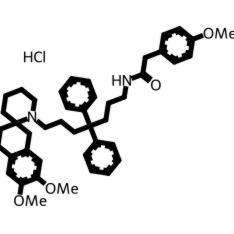 COc1ccc(CC(=O)NCCCC(CCCN2CCCCC23CCc2cc(OC)c(OC)cc2C3)(c2ccccc2)c2ccccc2)cc1.Cl